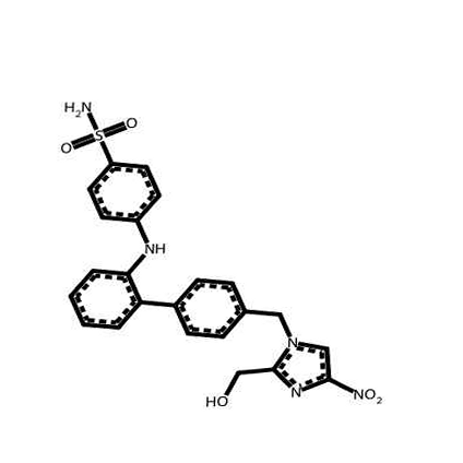 NS(=O)(=O)c1ccc(Nc2ccccc2-c2ccc(Cn3cc([N+](=O)[O-])nc3CO)cc2)cc1